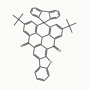 CC(C)(C)c1cc2c3c(c1)c(=O)c1cc4c5ccccc5oc4c4c(=O)c5cc(C(C)(C)C)cc(c5n3c14)C21c2ccccc2-c2ccccc21